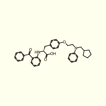 O=C(c1ccccc1)c1ccccc1N[C@@H](Cc1ccc(OCCN(CC2CCCC2)c2ccccc2)cc1)C(=O)O